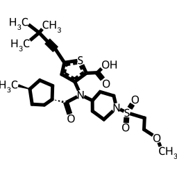 COCCS(=O)(=O)N1CCC(N(c2cc(C#CC(C)(C)C)sc2C(=O)O)C(=O)[C@H]2CC[C@H](C)CC2)CC1